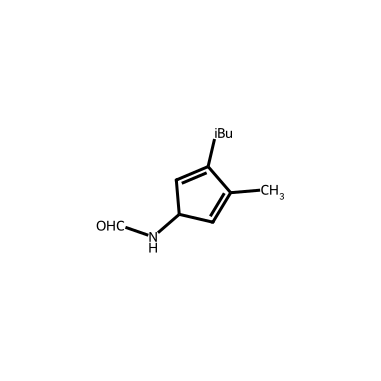 CCC(C)C1=CC(NC=O)C=C1C